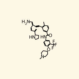 C=C(/C=C\C(C#Cc1cc(C(=O)Nc2ccc(OC3CCN(C)CC3)c(C(F)(F)F)c2)ccc1C)=C/N)C1CCCN1